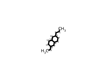 CCCC1CCC2CC(CC)CCC2C1